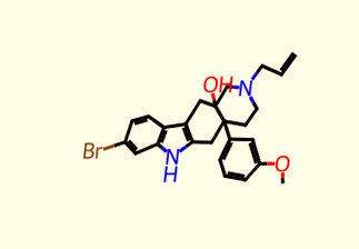 C=CCN1CCC2(c3cccc(OC)c3)Cc3[nH]c4cc(Br)ccc4c3CC2(O)C1